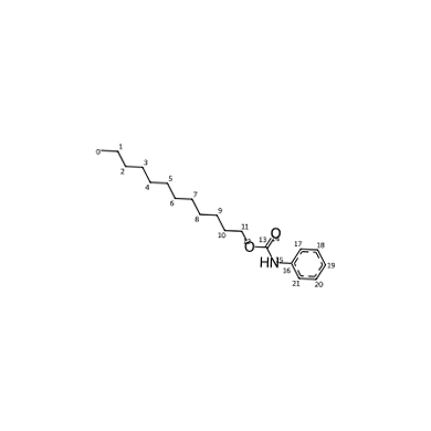 CCCCCCCCCCCCOC(=O)Nc1ccccc1